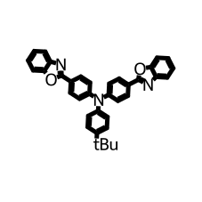 CC(C)(C)c1ccc(N(c2ccc(-c3nc4ccccc4o3)cc2)c2ccc(-c3nc4ccccc4o3)cc2)cc1